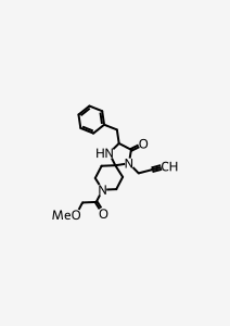 C#CCN1C(=O)C(Cc2ccccc2)NC12CCN(C(=O)COC)CC2